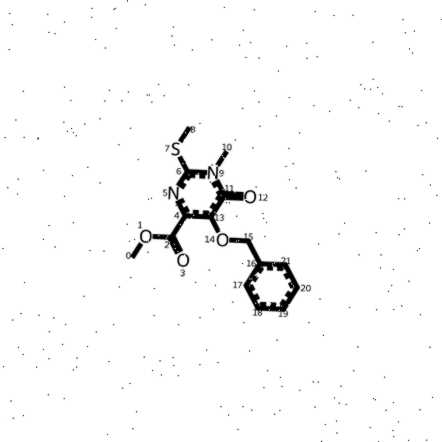 COC(=O)c1nc(SC)n(C)c(=O)c1OCc1ccccc1